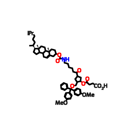 COc1ccc(C(OCC2CC(C(=O)CCCCCNC(=O)OC3CC[C@@]4(C)C(=CCC5C4CC[C@@]4(C)C5CC[C@@H]4C(C)CCCC(C)C)C3)CC2OC(=O)CCC(=O)O)(c2ccccc2)c2ccc(OC)cc2)cc1